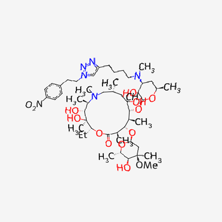 CC[C@H]1OC(=O)[C@H](C)[C@@H](O[C@H]2C[C@@](C)(OC)[C@@H](O)[C@H](C)O2)[C@H](C)[C@@H](O[C@@H]2O[C@H](C)C[C@H](N(C)CCCCc3cn(CCc4ccc([N+](=O)[O-])cc4)nn3)[C@H]2O)[C@](C)(O)C[C@@H](C)CN(C)[C@H](C)[C@@H](O)[C@]1(C)O